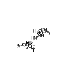 CC(C)(C)OC(=O)NCCNCCCNc1cc(C(F)(F)F)cc2c1Nc1ccc(Br)cc1S2